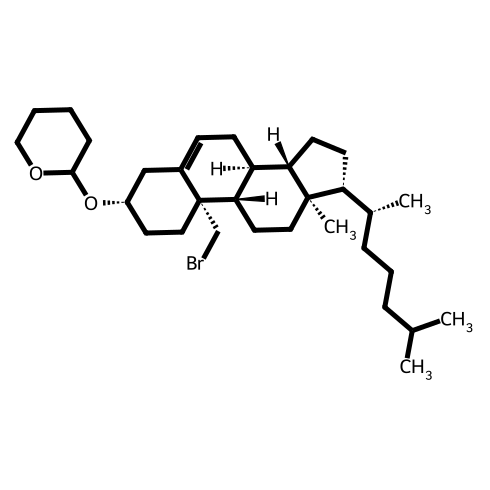 CC(C)CCC[C@@H](C)[C@H]1CC[C@H]2[C@@H]3CC=C4C[C@@H](OC5CCCCO5)CC[C@]4(CBr)[C@H]3CC[C@]12C